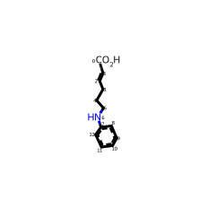 O=C(O)C=CCCCNc1ccccc1